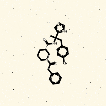 CC(Cc1ccc(C#N)cc1)(NC(=O)[C@H]1CCCN(C(=O)Cc2ccccc2)C1)c1cnc[nH]1